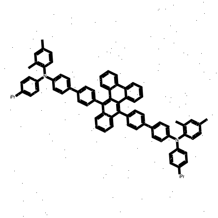 Cc1ccc(N(c2ccc(-c3ccc(-c4c5ccccc5c(-c5ccc(-c6ccc(N(c7ccc(C(C)C)cc7)c7ccc(C)cc7C)cc6)cc5)c5c6ccccc6c6ccccc6c45)cc3)cc2)c2ccc(C(C)C)cc2)c(C)c1